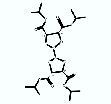 CC(C)OC(=O)[C@@H]1OB(B2O[C@@H](C(=O)OC(C)C)[C@H](C(=O)OC(C)C)O2)O[C@H]1C(=O)OC(C)C